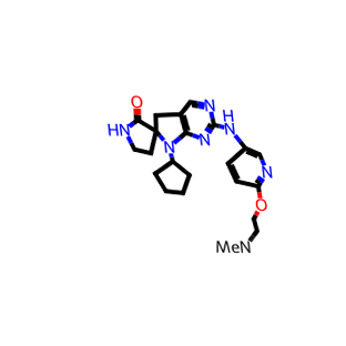 CNCCOc1ccc(Nc2ncc3c(n2)N(C2CCCC2)C2(CCNC2=O)C3)cn1